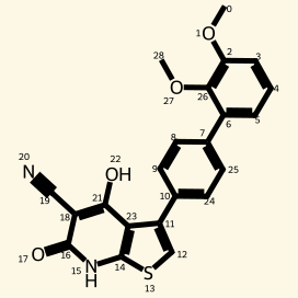 COc1cccc(-c2ccc(-c3csc4[nH]c(=O)c(C#N)c(O)c34)cc2)c1OC